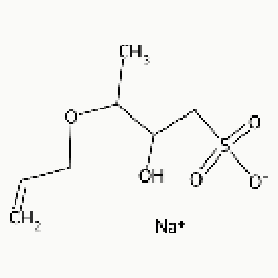 C=CCOC(C)C(O)CS(=O)(=O)[O-].[Na+]